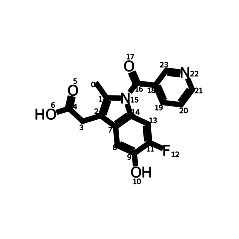 Cc1c(CC(=O)O)c2cc(O)c(F)cc2n1C(=O)c1cccnc1